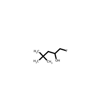 CC(C)(C)CC(O)CF